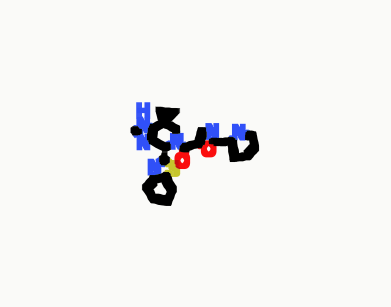 O=C(c1cnc(-c2ccccn2)o1)N1CC2(CC2)c2[nH]cnc2[C@H]1c1nc2ccccc2s1